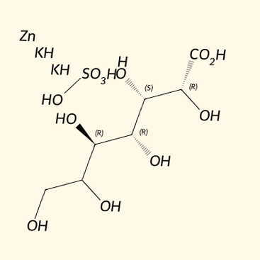 O=C(O)[C@H](O)[C@@H](O)[C@H](O)[C@H](O)C(O)CO.O=S(=O)(O)O.[KH].[KH].[Zn]